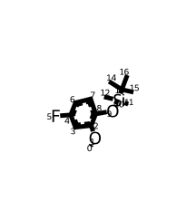 COc1cc(F)ccc1O[Si](C)(C)C(C)(C)C